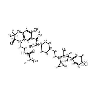 CC(C)N(C(=O)c1cc2c(cc1C(F)(F)F)OC(C)(C)C(=O)N2CCNC(=O)C(F)F)[C@H]1CC[C@@H](CCN(C(=O)C(C)(C)c2ccc(Cl)cc2)C2CC2)CC1